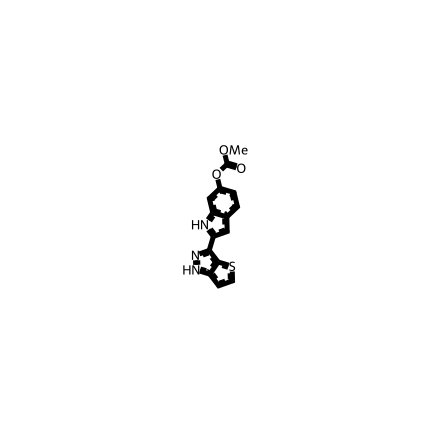 COC(=O)Oc1ccc2cc(-c3n[nH]c4ccsc34)[nH]c2c1